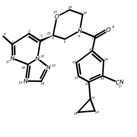 Cc1cc([C@@H]2CN(C(=O)c3ccc(C4CC4)c(C#N)c3)CCO2)n2ncnc2n1